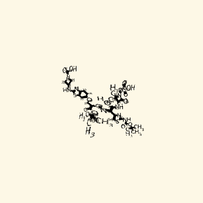 CC(C)(C)OC(=O)Nc1nc(/C(=N/OC(COc2ccc3nc(NC4CN(C(=O)O)C4)sc3c2)C(=O)OC(C)(C)C)C(=O)N[C@@H]2C(=O)N(OS(=O)(=O)O)C2(C)C)cs1